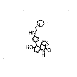 O=c1[nH]c2ccc(O)c(-c3ccc(NCCN4CCCCC4)cc3)c2c2ccsc12